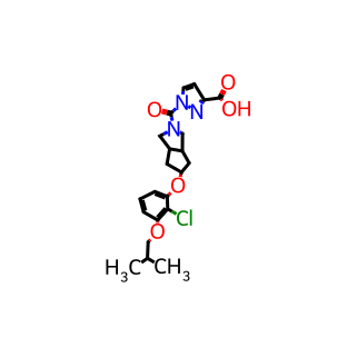 CC(C)COc1cccc(OC2CC3CN(C(=O)n4ccc(C(=O)O)n4)CC3C2)c1Cl